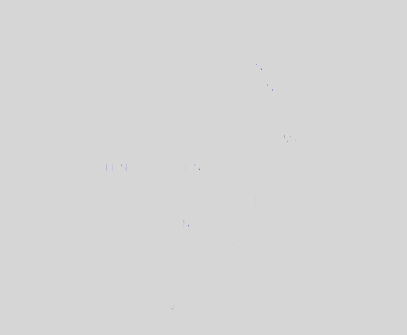 CCOc1c(C(N)=O)cc([C@@](O)(CNC(=O)c2cc(OC)c3nn(C4CC4)cc3c2)C2CC2)nc1-c1cccc(Br)c1F